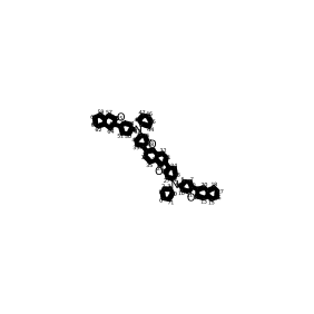 c1ccc(N(c2ccc3c(c2)oc2cc4ccccc4cc23)c2ccc3c(c2)oc2c3ccc3c2ccc2c4ccc(N(c5ccccc5)c5ccc6c(c5)oc5cc7ccccc7cc56)cc4oc23)cc1